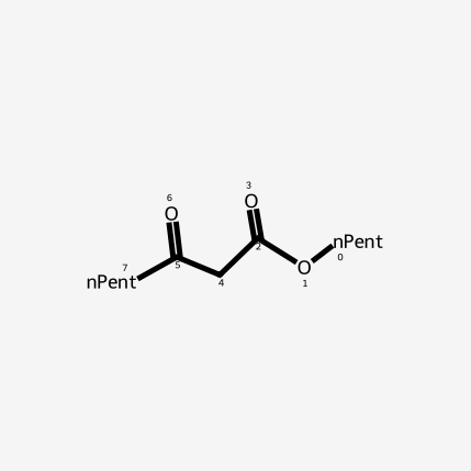 CCCCCOC(=O)CC(=O)CCCCC